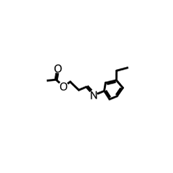 CCc1cccc(N=CCCOC(C)=O)c1